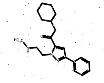 O=C(O)NCCn1nc(-c2ccccc2)cc1C(=O)CC1CCCCC1